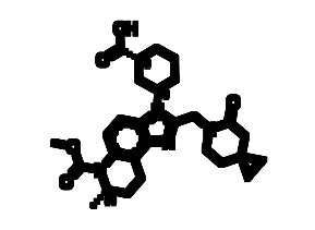 COC(=O)N1c2ccc3c(nc(CN4CCC5(CC5)CC4=O)n3[C@@H]3CCC[C@@H](C(=O)O)C3)c2CC[C@@H]1C